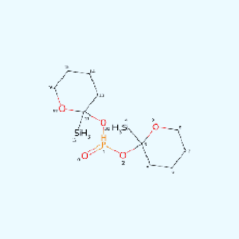 O=[PH](OC1([SiH3])CCCCO1)OC1([SiH3])CCCCO1